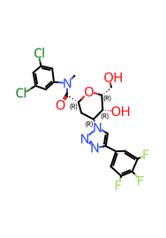 CN(C(=O)[C@H]1C[C@@H](n2cc(-c3cc(F)c(F)c(F)c3)nn2)[C@@H](O)[C@@H](CO)O1)c1cc(Cl)cc(Cl)c1